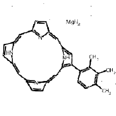 Cc1ccc(-c2cc3cc4nc(cc5ccc(cc6nc(cc2[nH]3)C=C6)[nH]5)C=C4)c(C)c1C.[MgH2]